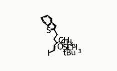 CC(C=CI)(CCc1cc2ccccc2s1)O[Si](C)(C)C(C)(C)C